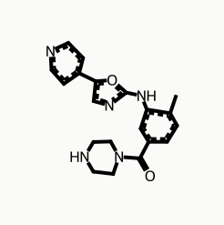 Cc1ccc(C(=O)N2CCNCC2)cc1Nc1ncc(-c2ccncc2)o1